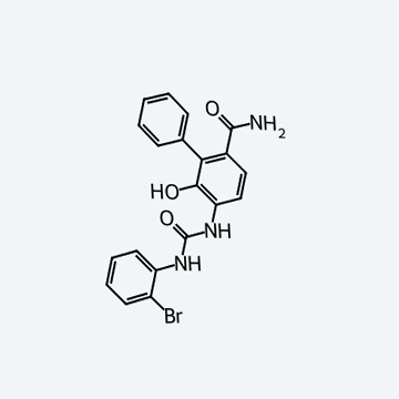 NC(=O)c1ccc(NC(=O)Nc2ccccc2Br)c(O)c1-c1ccccc1